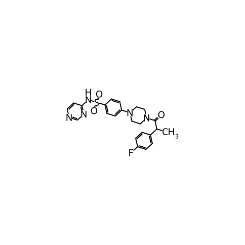 CC(C(=O)N1CCN(c2ccc(S(=O)(=O)Nc3ccncn3)cc2)CC1)c1ccc(F)cc1